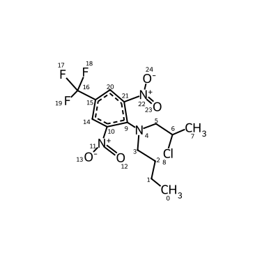 CCCCN(CC(C)Cl)c1c([N+](=O)[O-])cc(C(F)(F)F)cc1[N+](=O)[O-]